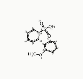 COc1ccccc1.O=S(=O)(O)c1ccccc1